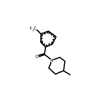 [CH2]C1CCN(C(=O)c2cccc(C(F)(F)F)c2)CC1